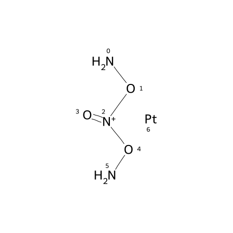 NO[N+](=O)ON.[Pt]